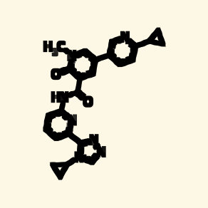 Cn1cc(-c2ccc(C3CC3)nc2)cc(C(=O)Nc2cccc(-c3nncn3C3CC3)n2)c1=O